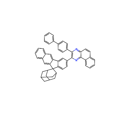 c1ccc(-c2ccc(-c3nc4ccc5ccccc5c4nc3-c3ccc4c(c3)-c3cc5ccccc5cc3C43C4CC5CC(C4)CC3C5)cc2)cc1